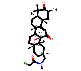 CN(C[C@@]1(C)CC[C@]2(C)CC[C@@]3(C)[C@]4(C)CC[C@H]5C(C)(C)C(=O)C(C#N)=C[C@]5(C)C4=CC(=O)[C@]3(O)[C@@H]2C1)C(=O)CF